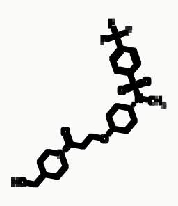 CN([C@H]1CC[C@H](OCCC(=O)N2CCC(CO)CC2)CC1)S(=O)(=O)c1ccc(C(F)(F)F)cc1